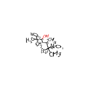 CCC(C)(C(C)CC(O)C(C)(C)[N+](=O)[O-])[N+](=O)[O-]